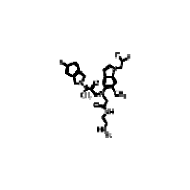 CCNCCNC(=O)CN(CC(=O)N(C)N1Cc2ccc(F)cc2C1)c1cc2ccn(CC(F)F)c2cc1C